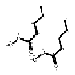 CCCCC(=O)OO.CCCCC(=O)OO